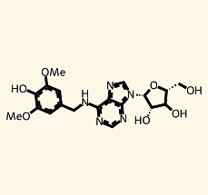 COc1cc(CNc2ncnc3c2ncn3[C@@H]2O[C@H](CO)C(O)[C@@H]2O)cc(OC)c1O